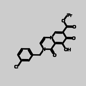 CC(C)OC(=O)c1cn2ccn(Cc3cccc(Cl)c3)c(=O)c2c(O)c1=O